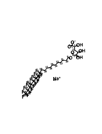 O=C([O-])[C@@H](O)[C@H]1O[C@@H](OCCCCCCCCCCCC(F)(F)C(F)(F)C(F)(F)C(F)(F)C(F)(F)C(F)(F)C(F)(F)C(F)(F)F)[C@H](O)[C@H]1O.[Na+]